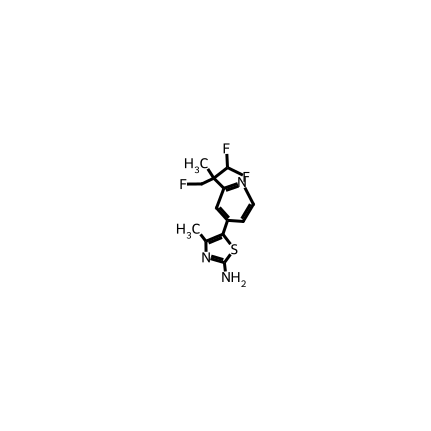 Cc1nc(N)sc1-c1ccnc(C(C)(CF)C(F)F)c1